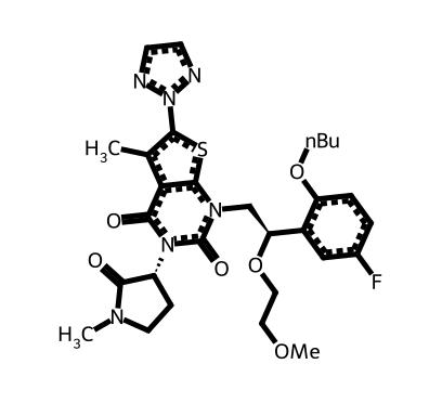 CCCCOc1ccc(F)cc1[C@H](Cn1c(=O)n([C@@H]2CCN(C)C2=O)c(=O)c2c(C)c(-n3nccn3)sc21)OCCOC